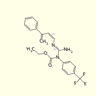 C=C(/C=C\N=C(/N)N(C(=O)OCC)c1ccc(C(F)(F)F)cc1)c1ccccc1